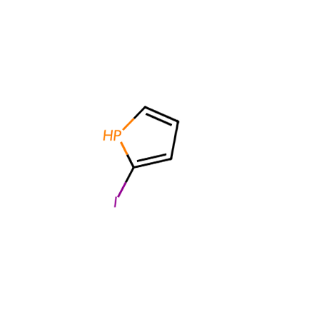 Ic1ccc[pH]1